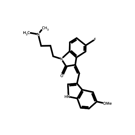 COc1ccc2[nH]cc(/C=C3\C(=O)N(CCCN(C)C)c4ccc(F)cc43)c2c1